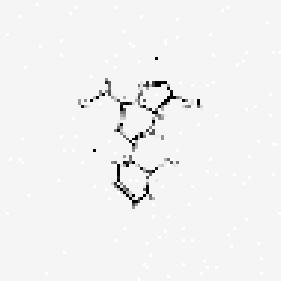 Bc1cnn2c(NCC)cc(-c3ccccc3Cl)nc12